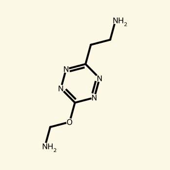 NCCc1nnc(OCN)nn1